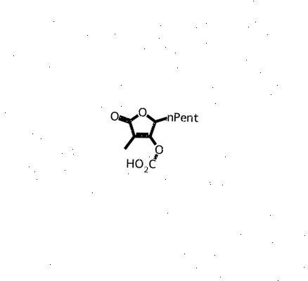 CCCCCC1OC(=O)C(C)=C1OC(=O)O